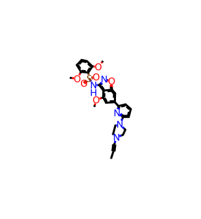 CC#CN1CCN(c2cccc(-c3cc(OC)c4c(NS(=O)(=O)c5c(OC)cccc5OC)noc4c3)n2)CC1